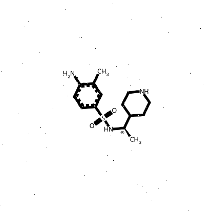 Cc1cc(S(=O)(=O)N[C@H](C)C2CCNCC2)ccc1N